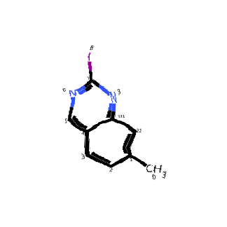 Cc1ccc2cnc(I)nc2c1